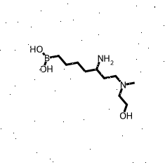 CN(CCO)CCC(N)CCCCB(O)O